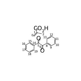 C=C(C)C(=O)O.O=C(C(=O)c1ccccc1)c1ccccc1